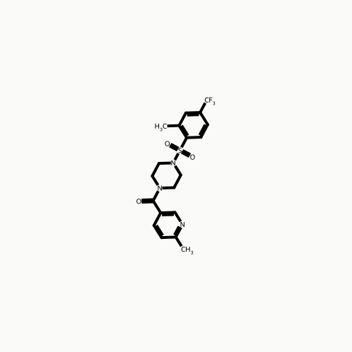 Cc1ccc(C(=O)N2CCN(S(=O)(=O)c3ccc(C(F)(F)F)cc3C)CC2)cn1